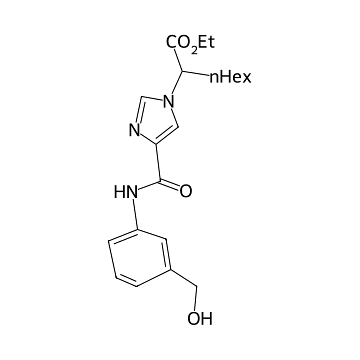 CCCCCCC(C(=O)OCC)n1cnc(C(=O)Nc2cccc(CO)c2)c1